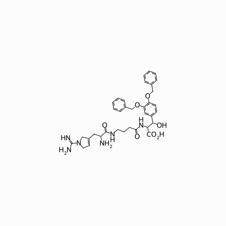 N=C(N)N1CC=C(CC(N)C(=O)NCCCC(=O)NC(C(=O)O)C(O)c2ccc(OCc3ccccc3)c(OCc3ccccc3)c2)C1